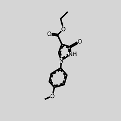 CCOC(=O)c1cn(-c2ccc(OC)cc2)[nH]c1=O